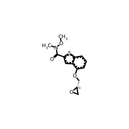 CON(C)C(=O)c1cc2c(OC[C@@H]3CO3)cccc2s1